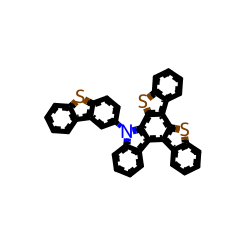 c1ccc2c(c1)sc1ccc(-n3c4ccccc4c4c5c6ccccc6sc5c5c6ccccc6sc5c43)cc12